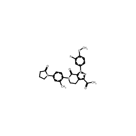 COc1ccc(-n2nc(C(C)=O)c3c2C(=O)N(c2ccc(N4CCCC4=O)cc2C)CC3)cc1F